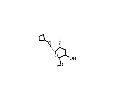 CO[C@H]1O[C@H](COC2CCC2)[C@H](F)CC1O